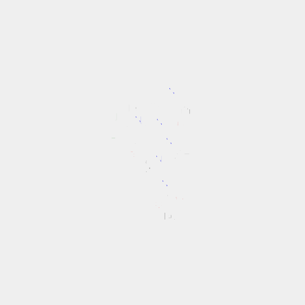 Cc1ccnc(C(C)C)c1-n1c(=O)nc2c3c(c(F)c(Cl)nc31)OC[C@H]1CN(C(=O)OC(C)(C)C)C[C@H](C)N21